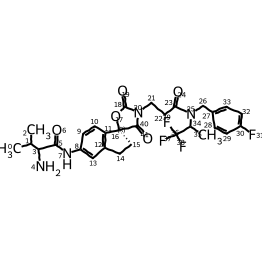 CC(C)C(N)C(=O)Nc1ccc2c(c1)CC[C@@]21OC(=O)N(CCC(=O)N(Cc2ccc(F)cc2)C(C)C(F)(F)F)C1=O